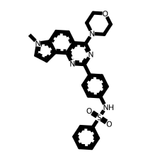 Cn1ccc2c3nc(-c4ccc(NS(=O)(=O)c5ccccc5)cc4)nc(N4CCOCC4)c3ccc21